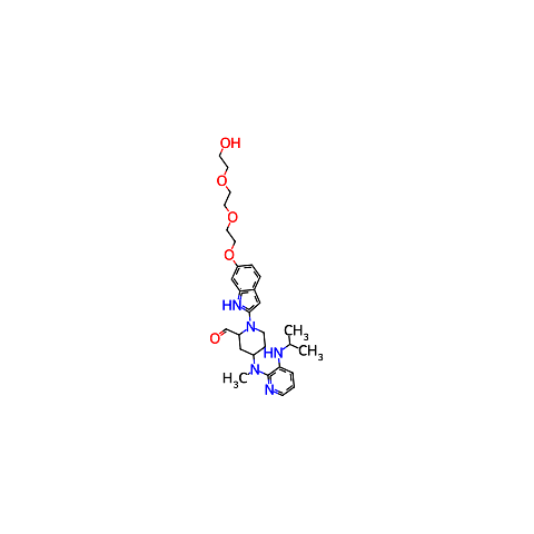 CC(C)Nc1cccnc1N(C)C1CCN(c2cc3ccc(OCCOCCOCCO)cc3[nH]2)C(C=O)C1